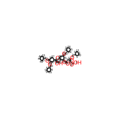 O=C(O)O[C@]1(COCc2ccccc2)CO[C@@H](Oc2cc(OCc3ccccc3)cc3c2C[C@H](O)[C@@H](c2ccc(OCc4ccccc4)c(OCc4ccccc4)c2)O3)C1